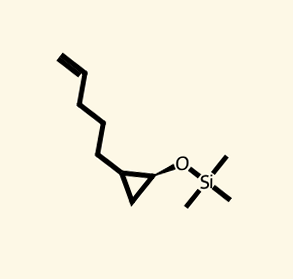 C=CCCCC1C[C@@H]1O[Si](C)(C)C